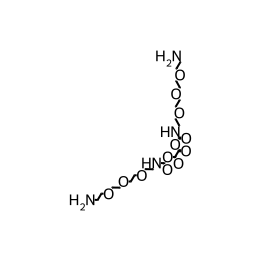 NCCOCCOCCOCCNC(=O)OC(=O)C(=O)OC(=O)NCCOCCOCCOCCN